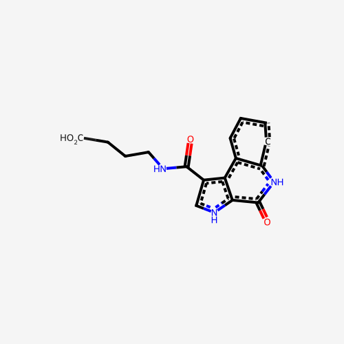 O=C(O)CCCNC(=O)c1c[nH]c2c(=O)[nH]c3ccccc3c12